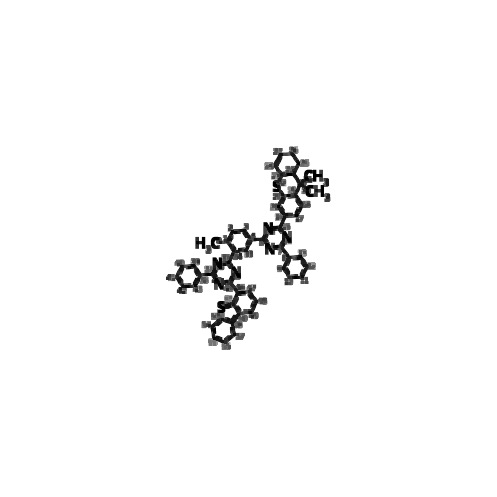 Cc1ccc(-c2nc(-c3ccccc3)nc(-c3ccc4c(c3)SC3=C(CCC=C3)C4(C)C)n2)cc1-c1nc(-c2ccccc2)nc(-c2cccc3c2sc2ccccc23)n1